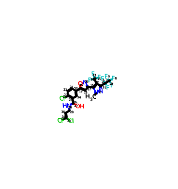 Cn1nc(C(F)(F)C(F)(F)F)c(C(F)(F)F)c1-c1cc(-c2ccc(Cl)c(C(O)NCC=C(Cl)Cl)c2)on1